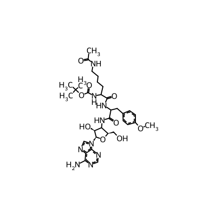 COc1ccc(CC(NC(=O)C(CCCCNC(C)=O)NC(=O)OC(C)(C)C)C(=O)NC2[C@@H](CO)O[C@@H](n3cnc4c(N)ncnc43)[C@H]2O)cc1